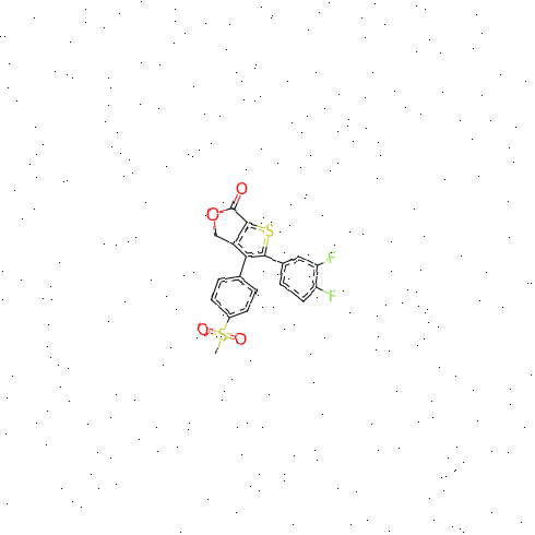 CS(=O)(=O)c1ccc(-c2c(-c3ccc(F)c(F)c3)sc3c2COC3=O)cc1